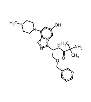 CN1CCN(c2cc(O)cn3c([C@@H](COCc4ccccc4)NC(=O)C(C)(C)N)nnc23)CC1